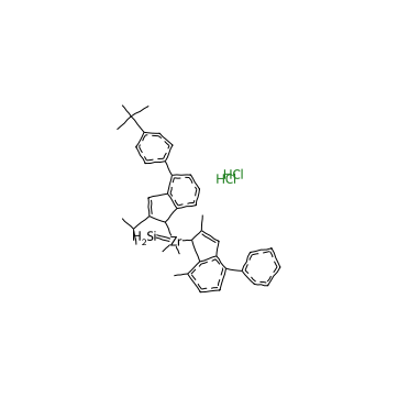 CC1=Cc2c(-c3ccccc3)ccc(C)c2[CH]1[Zr]([CH3])([CH3])(=[SiH2])[CH]1C(C(C)C)=Cc2c(-c3ccc(C(C)(C)C)cc3)cccc21.Cl.Cl